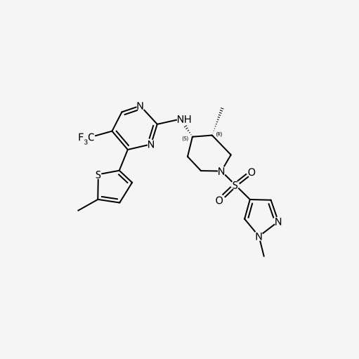 Cc1ccc(-c2nc(N[C@H]3CCN(S(=O)(=O)c4cnn(C)c4)C[C@H]3C)ncc2C(F)(F)F)s1